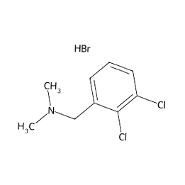 Br.CN(C)Cc1cccc(Cl)c1Cl